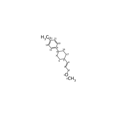 COCC=CC1CCC(c2ccc(C)cc2)CC1